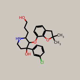 CC1(C)Cc2cccc(OC3C(CCCO)NCCC3(O)c3cccc(Cl)c3)c2O1